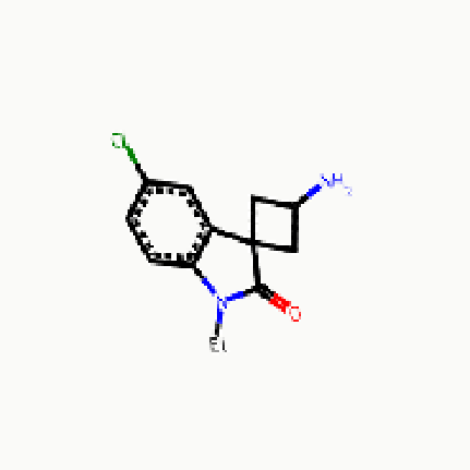 CCN1C(=O)C2(CC(N)C2)c2cc(Cl)ccc21